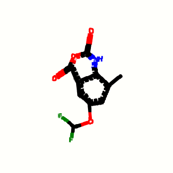 Cc1cc(OC(F)F)cc2c(=O)oc(=O)[nH]c12